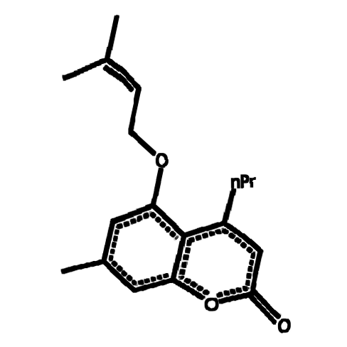 CCCc1cc(=O)oc2cc(C)cc(OCC=C(C)C)c12